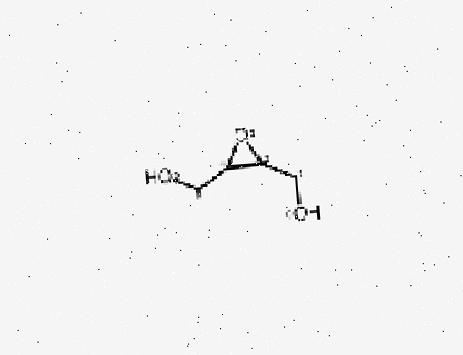 OCC1OC1CO